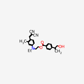 C=C(CO)c1ccc(C(=O)OCCN(CC)c2ccc(C=C(C#N)C#N)c(C)c2)cc1